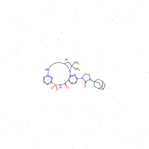 CC1(C)C[C@@H]2CCCNc3cccc(n3)S(=O)(=O)NC(=O)c3ccc(N4CCN(C56CC7CC(C5)C(C7)C6)C4=O)nc3N1C2